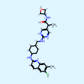 Cc1cc2nc(NC3CCC(CNc4ncc(C(C)C(=O)NC5COC5)cn4)CC3)ccc2cc1Cl